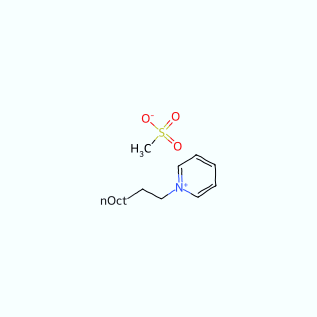 CCCCCCCCCC[n+]1ccccc1.CS(=O)(=O)[O-]